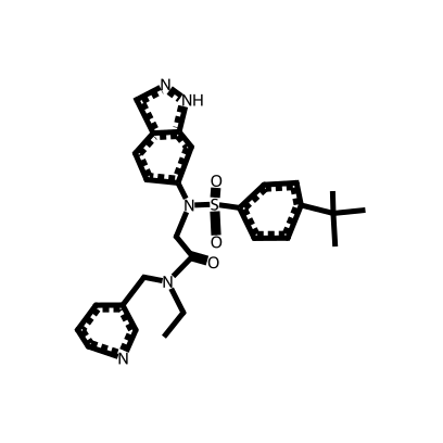 CCN(Cc1cccnc1)C(=O)CN(c1ccc2cn[nH]c2c1)S(=O)(=O)c1ccc(C(C)(C)C)cc1